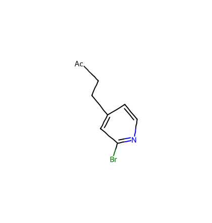 CC(=O)CCc1ccnc(Br)c1